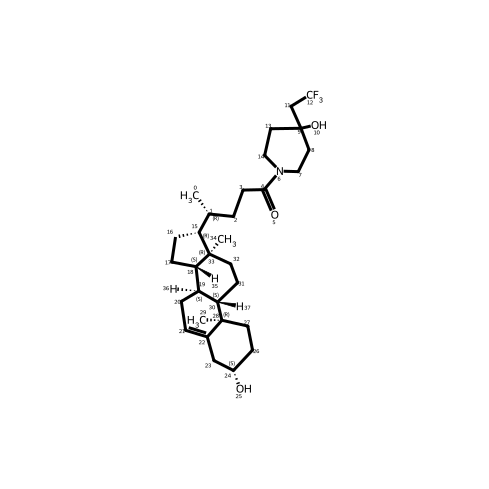 C[C@H](CCC(=O)N1CCC(O)(CC(F)(F)F)CC1)[C@H]1CC[C@H]2[C@@H]3CC=C4C[C@@H](O)CC[C@]4(C)[C@H]3CC[C@]12C